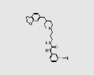 N#Cc1cccc(NC(=O)NCCCN2CCC(Cc3ccc4c(c3)OCO4)CC2)c1